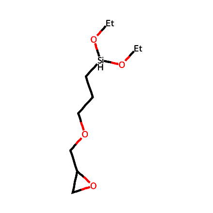 CCO[SiH](CCCOCC1CO1)OCC